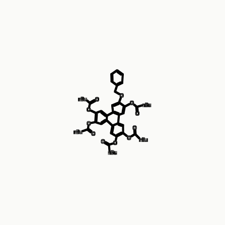 CCCCC(=O)Oc1cc2c(cc1OCc1ccccc1)c1cc(OC(=O)CCCC)c(OC(=O)CCCC)cc1c1cc(OC(=O)CCCC)c(OC(=O)CCCC)cc21